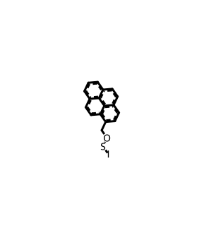 ISOCc1ccc2ccc3cccc4ccc1c2c34